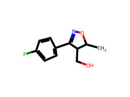 CC1ON=C(c2ccc(F)cc2)C1CO